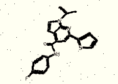 CC(C)n1ccc2c(C(=O)Nc3ccc(F)cc3)cc(-c3cccs3)nc21